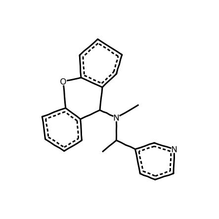 CC(c1cccnc1)N(C)C1c2ccccc2Oc2ccccc21